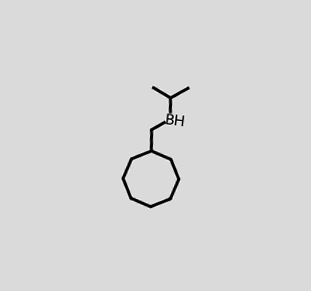 CC(C)BCC1CCCCCCC1